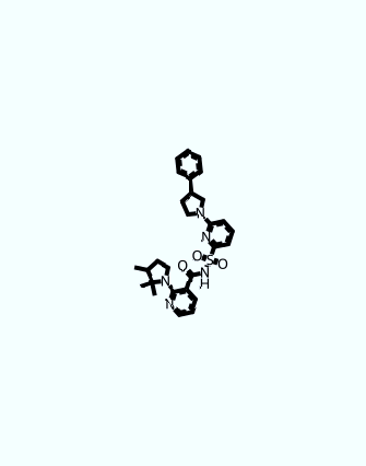 CC1CCN(c2ncccc2C(=O)NS(=O)(=O)c2cccc(N3CCC(c4ccccc4)C3)n2)C1(C)C